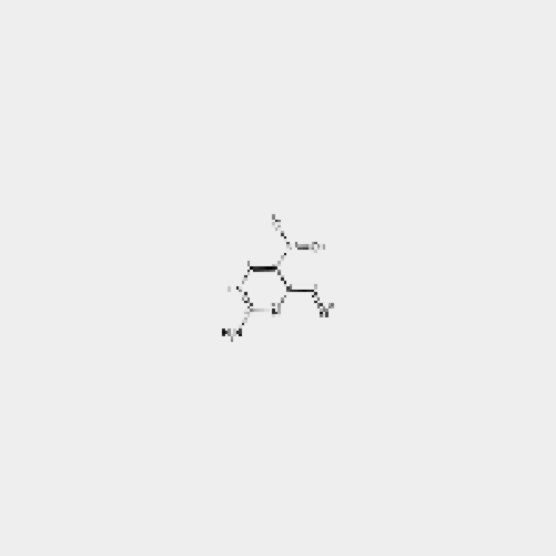 NC1=NC=C([N+](=O)[O-])C(C=O)N1